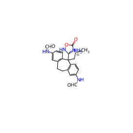 C[C@H](N)CC1(c2nc(=O)o[nH]2)c2ccc(NC=O)cc2CCc2cc(NC=O)ccc21